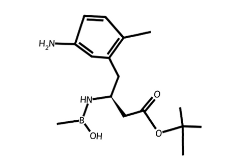 CB(O)N[C@H](CC(=O)OC(C)(C)C)Cc1cc(N)ccc1C